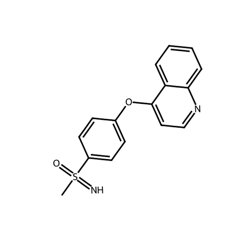 CS(=N)(=O)c1ccc(Oc2ccnc3ccccc23)cc1